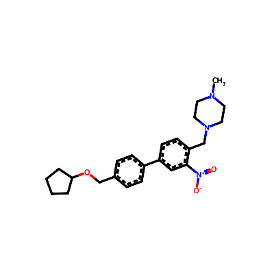 CN1CCN(Cc2ccc(-c3ccc(COC4CCCC4)cc3)cc2[N+](=O)[O-])CC1